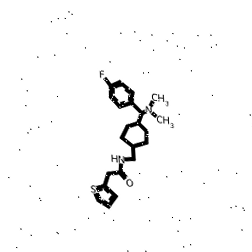 CN(C)C(c1ccc(F)cc1)C1CCC(CNC(=O)Cc2cccs2)CC1